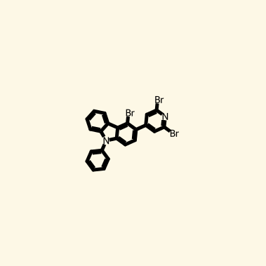 Brc1cc(-c2ccc3c(c2Br)c2ccccc2n3-c2ccccc2)cc(Br)n1